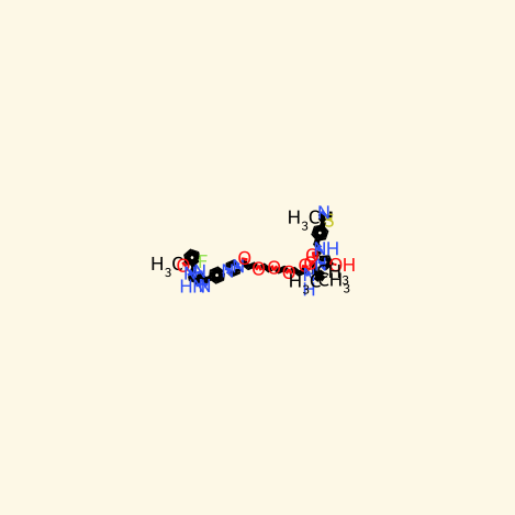 COc1cccc(F)c1-c1ncc2[nH]nc(-c3ccc(N4CCN(C(=O)CCOCCOCCOCCC(=O)N[C@H](C(=O)N5C[C@H](O)C[C@H]5C(=O)NCc5ccc(-c6scnc6C)cc5)C(C)(C)C)CC4)cc3)c2n1